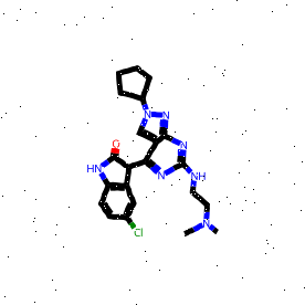 CN(C)CCNc1nc(C2C(=O)Nc3ccc(Cl)cc32)c2cn(C3CCCC3)nc2n1